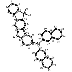 CC1(C)c2ccccc2-c2cc3sc4ccc(N(c5ccc6ccccc6c5)c5ccc6ccccc6c5)cc4c3cc21